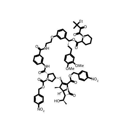 CCC(C)(C)C(=O)C(=O)N1CCCCC1C(=O)O[C@H](CCc1ccc(OC)c(OC)c1)c1cccc(OCCNC(=O)c2cccc(NC(=O)[C@@H]3C[C@H](SC4=C(C(=O)OCc5ccc([N+](=O)[O-])cc5)N5C(=O)[C@H]([C@@H](C)O)[C@H]5[C@H]4C)CN3C(=O)OCc3ccc([N+](=O)[O-])cc3)c2)c1